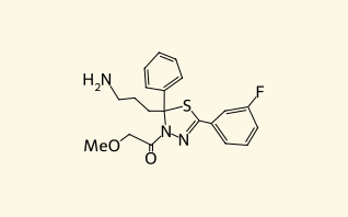 COCC(=O)N1N=C(c2cccc(F)c2)SC1(CCCN)c1ccccc1